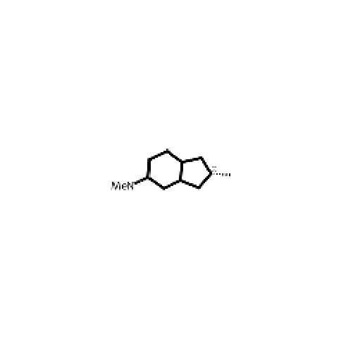 CNC1CCC2C[C@H](C)CC2C1